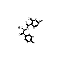 Cc1ccc(C(=O)N(NC(=O)c2ccc(Cl)cc2Cl)C(C)(C)C)cc1